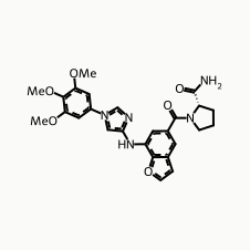 COc1cc(-n2cnc(Nc3cc(C(=O)N4CCC[C@H]4C(N)=O)cc4ccoc34)c2)cc(OC)c1OC